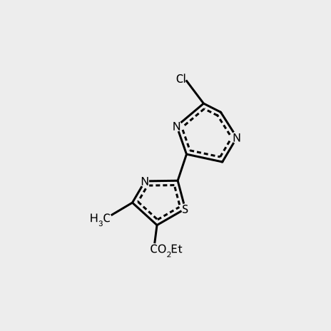 CCOC(=O)c1sc(-c2cncc(Cl)n2)nc1C